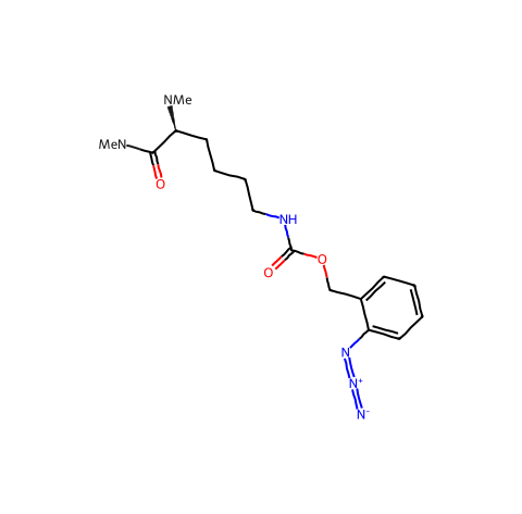 CNC(=O)[C@H](CCCCNC(=O)OCc1ccccc1N=[N+]=[N-])NC